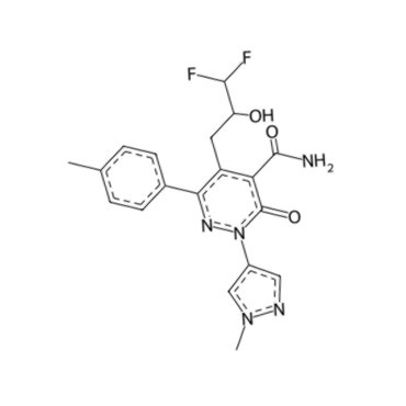 Cc1ccc(-c2nn(-c3cnn(C)c3)c(=O)c(C(N)=O)c2CC(O)C(F)F)cc1